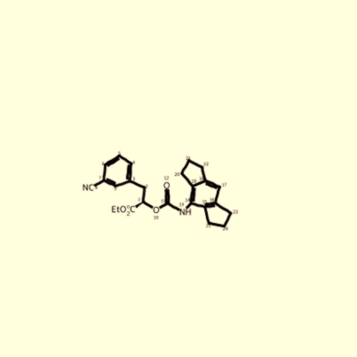 CCOC(=O)[C@@H](Cc1cccc(C#N)c1)OC(=O)Nc1c2c(cc3c1CCC3)CCC2